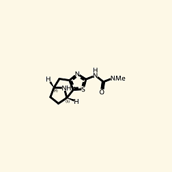 CNC(=O)Nc1nc2c(s1)[C@@H]1CC[C@H](C2)N1